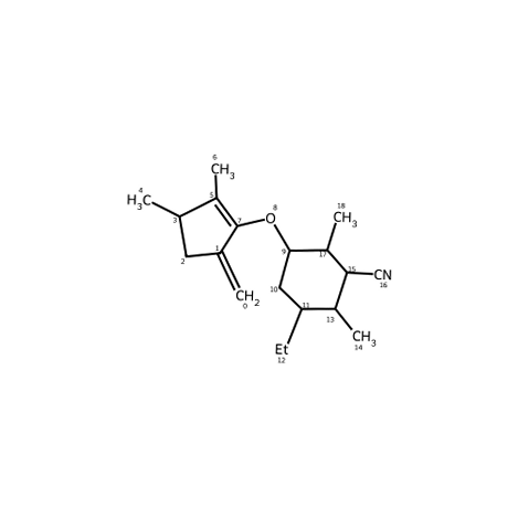 C=C1CC(C)C(C)=C1OC1CC(CC)C(C)C(C#N)C1C